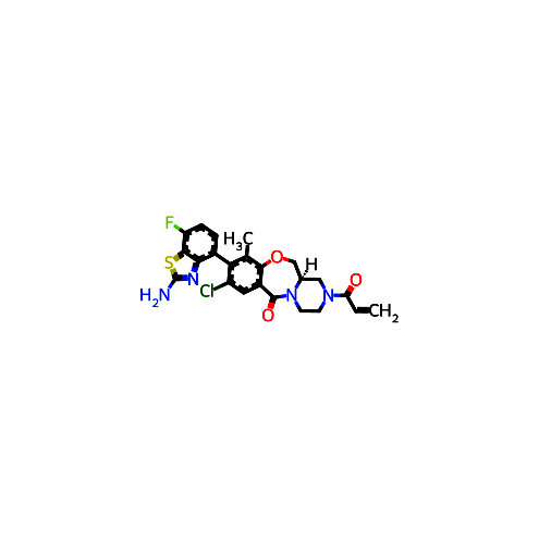 C=CC(=O)N1CCN2C(=O)c3cc(Cl)c(-c4ccc(F)c5sc(N)nc45)c(C)c3OC[C@H]2C1